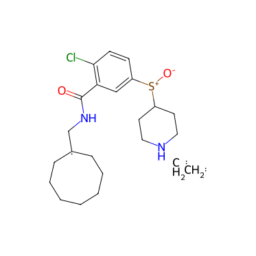 O=C(NC[C]1CCCCCCC1)c1cc([S+]([O-])C2CCNCC2)ccc1Cl.[CH2].[CH2]